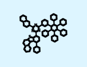 c1ccc(-c2c(-c3ccccc3)c(-c3ccccc3)c(-c3cccc(-c4nc(-c5ccc6ccccc6c5)nc(-c5ccc(-c6ccccc6)c6c5sc5ccc7ccccc7c56)n4)c3)c(-c3ccccc3)c2-c2ccccc2)cc1